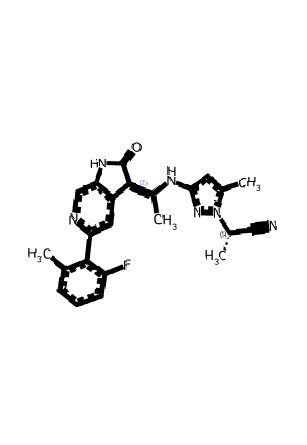 C/C(Nc1cc(C)n([C@@H](C)C#N)n1)=C1/C(=O)Nc2cnc(-c3c(C)cccc3F)cc21